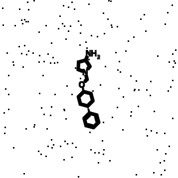 NC1CCN(CO[C@H]2CC[C@@H](c3ccccc3)CC2)C1